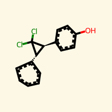 Oc1ccc([C@H]2[C@H](c3ccccc3)C2(Cl)Cl)cc1